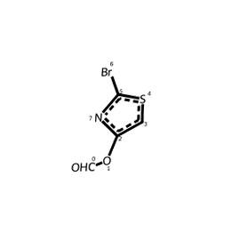 O=COc1csc(Br)n1